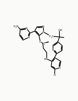 C[C@@H](CCNc1cc(Cl)ncc1-c1ccc(C(C)(O)C(F)(F)F)cn1)Oc1c(-c2nccc(N)n2)cnn1C